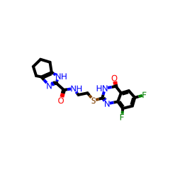 O=C(NCCSc1nc2c(F)cc(F)cc2c(=O)[nH]1)c1nc2c([nH]1)CCCC2